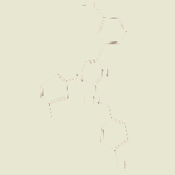 Fc1cccc(-n2cc(-c3cccc(C(F)(F)F)c3)nc2NCc2ccc(C(F)(F)F)cc2)c1